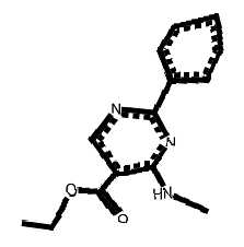 CCOC(=O)c1cnc(-c2ccccc2)nc1NC